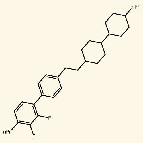 CCCc1ccc(-c2ccc(CCC3CCC(C4CCC(CCC)CC4)CC3)cc2)c(F)c1F